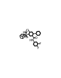 C[C@]1(O)C2CC1C[C@@H](S(=O)(=O)c1cc(C(=O)Nc3ccc(F)c(F)c3)c(-c3ccccc3)cc1Cl)C2